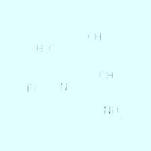 CCN(CN)C(C)(C)C